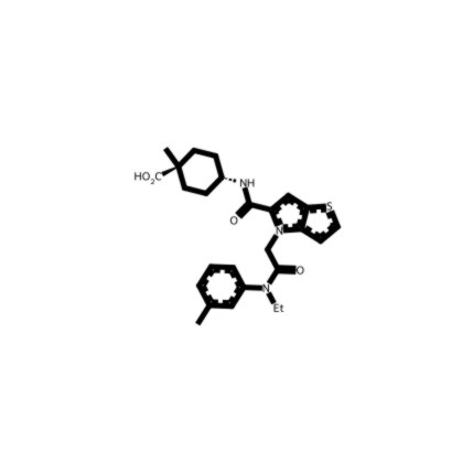 CCN(C(=O)Cn1c(C(=O)N[C@H]2CC[C@](C)(C(=O)O)CC2)cc2sccc21)c1cccc(C)c1